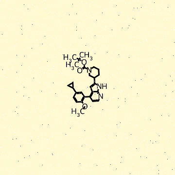 COc1ccc(C2CC2)cc1-c1ccnc2[nH]c(C3CCCN(C(=O)OC(C)(C)C)C3)cc12